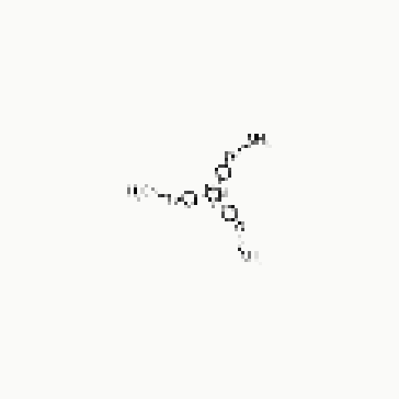 CCCCOc1ccc(-c2nc(-c3ccc(OCCCC)cc3)nc(-c3ccc(OCCCC)cc3)n2)cc1